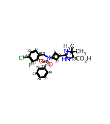 CC1(C)N=C(C23CC(N(Cc4ccc(Cl)c(F)c4)S(=O)(=O)c4ccccc4)(C2)C3)N[C@H]1C(=O)O